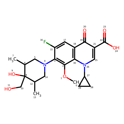 COc1c(N2CC(C)C(O)(CO)C(C)C2)c(F)cc2c(=O)c(C(=O)O)cn(C3CC3)c12